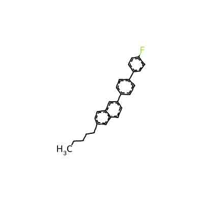 CCCCCc1ccc2cc(-c3ccc(-c4ccc(F)cc4)cc3)ccc2c1